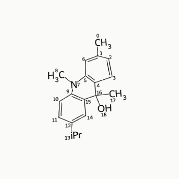 Cc1ccc2c(c1)N(C)c1ccc(C(C)C)cc1C2(C)O